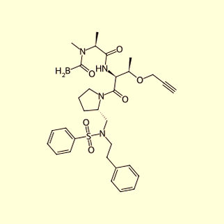 BC(=O)N(C)[C@@H](C)C(=O)N[C@H](C(=O)N1CCC[C@H]1CN(CCc1ccccc1)S(=O)(=O)c1ccccc1)[C@@H](C)OCC#C